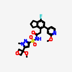 COc1cc(-c2cc(F)c3c(c2CC(=O)NS(=O)(=O)c2cc(C4(OC)COC4)n(C)n2)CCC3)ccn1